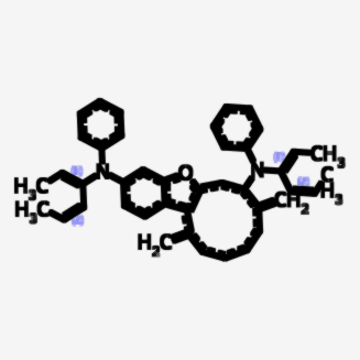 C=c1ccccc(=C)c2c(cc1N(C(/C=C\C)=C/C)c1ccccc1)oc1cc(N(C(/C=C\C)=C/C)c3ccccc3)ccc12